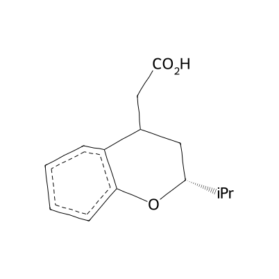 CC(C)[C@H]1CC(CC(=O)O)c2ccccc2O1